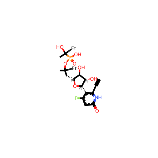 C#Cc1[nH]c(=O)cc(F)c1[C@@H]1O[C@H](CC(C)(CC)OP(=O)(O)C(C)(O)CC)C(O)[C@@H]1O